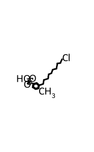 Cc1ccc(S(=O)(=O)O)cc1CCCCCCCCCCCl